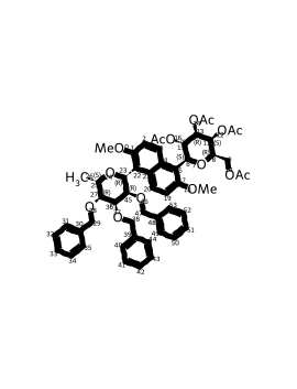 COc1ccc2c([C@@H]3O[C@H](COC(C)=O)[C@H](OC(C)=O)[C@H](OC(C)=O)[C@H]3OC(C)=O)c(OC)ccc2c1[C@H]1O[C@@H](C)[C@@H](OCc2ccccc2)[C@@H](OCc2ccccc2)[C@@H]1OCc1ccccc1